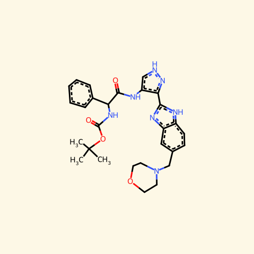 CC(C)(C)OC(=O)NC(C(=O)Nc1c[nH]nc1-c1nc2cc(CN3CCOCC3)ccc2[nH]1)c1ccccc1